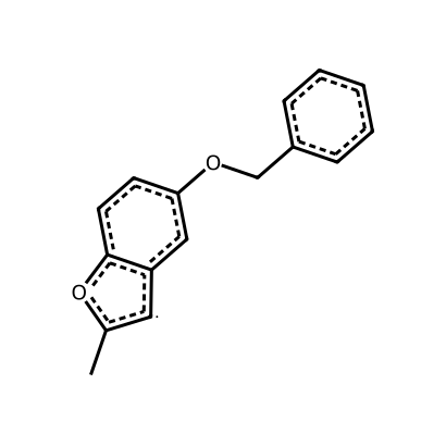 Cc1[c]c2cc(OCc3ccccc3)ccc2o1